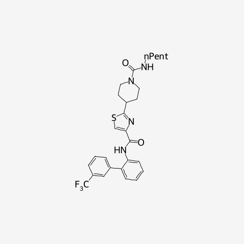 CCCCCNC(=O)N1CCC(c2nc(C(=O)Nc3ccccc3-c3cccc(C(F)(F)F)c3)cs2)CC1